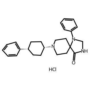 Cl.O=C1NCN(c2ccccc2)C12CCN([C@H]1CC[C@@H](c3ccccc3)CC1)CC2